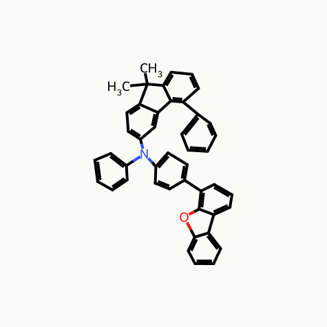 CC1(C)c2ccc(N(c3ccccc3)c3ccc(-c4cccc5c4oc4ccccc45)cc3)cc2-c2c(-c3ccccc3)cccc21